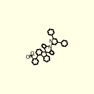 O=[N+]([O-])c1ccccc1-c1cccc2c1-c1ccccc1C21c2ccccc2N(c2cc(-c3ccccc3)cc(-c3ccccc3)n2)c2ccccc21